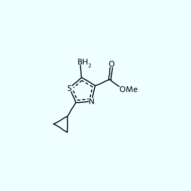 Bc1sc(C2CC2)nc1C(=O)OC